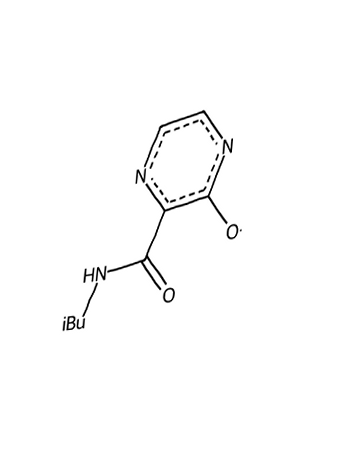 CCC(C)NC(=O)c1nccnc1[O]